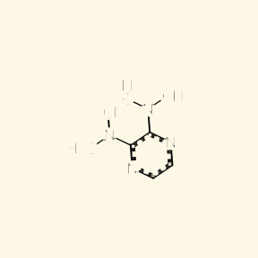 CN(C)c1nccnc1N(C)C